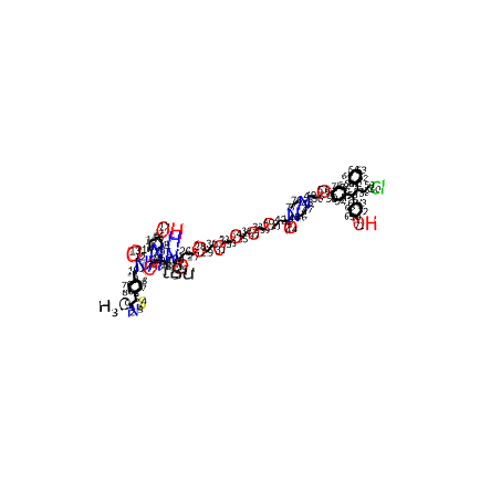 Cc1ncsc1-c1ccc(CNC(=O)[C@@H]2C[C@@H](O)CN2C(=O)[C@@H](NC(=O)CCOCCOCCOCCOCCOCCC(=O)N2CCN(CCOc3ccc(C(=C(CCCl)c4ccccc4)c4ccc(O)cc4)cc3)CC2)C(C)(C)C)cc1